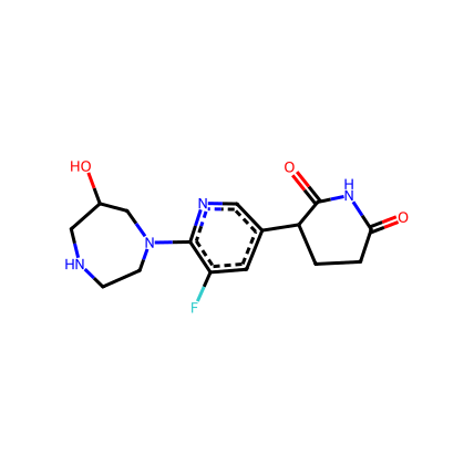 O=C1CCC(c2cnc(N3CCNCC(O)C3)c(F)c2)C(=O)N1